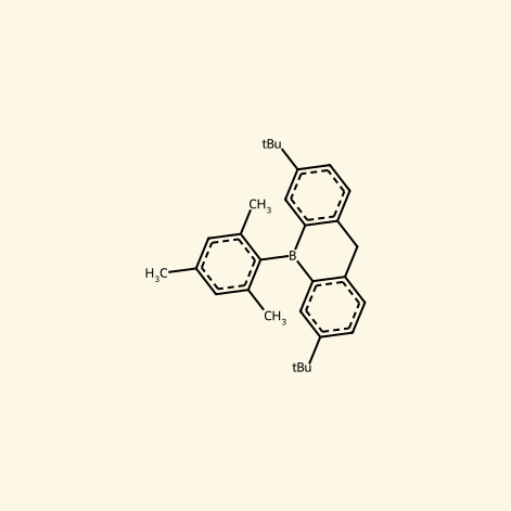 Cc1cc(C)c(B2c3cc(C(C)(C)C)ccc3Cc3ccc(C(C)(C)C)cc32)c(C)c1